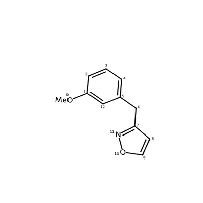 COc1cccc(Cc2[c]con2)c1